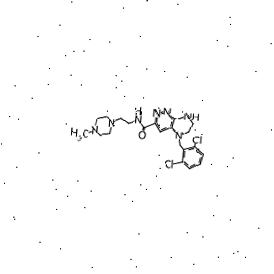 CN1CCN(CCNC(=O)c2cc3c(nn2)NCCN3Cc2c(Cl)cccc2Cl)CC1